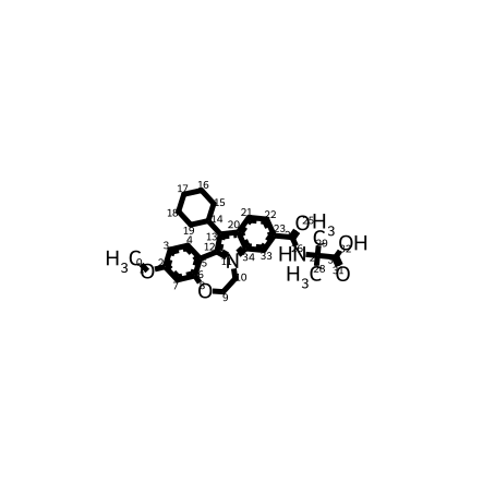 COc1ccc2c(c1)OCCn1c-2c(C2CCCCC2)c2ccc(C(=O)NC(C)(C)C(=O)O)cc21